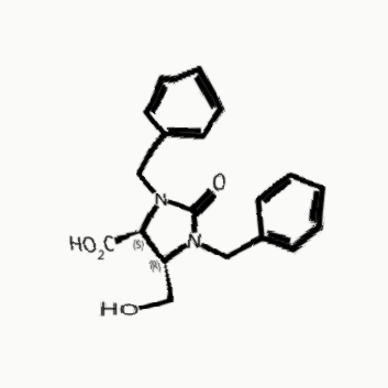 O=C(O)[C@@H]1[C@H](CO)N(Cc2ccccc2)C(=O)N1Cc1ccccc1